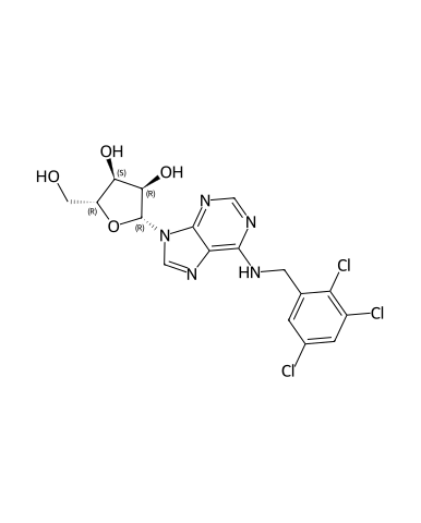 OC[C@H]1O[C@@H](n2cnc3c(NCc4cc(Cl)cc(Cl)c4Cl)ncnc32)[C@H](O)[C@@H]1O